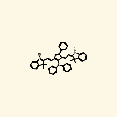 CCN1/C(=C/C=C2\C(c3ccccc3)=CC(/C=C/C3=[N+](CC)c4ccccc4C3(C)C)=C2N(c2ccccc2)c2ccccc2)C(C)(C)c2ccccc21